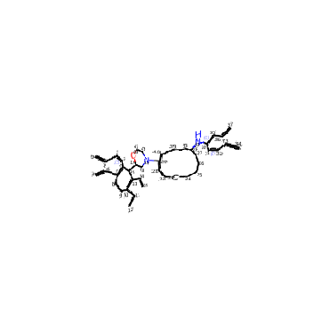 C=C/C=C\C1=C(C=C)CCC(C=C)=C(C=C)C1C1CN(C2CCCCCCCC(NC(/C=C\C=C)=C/C=C)CCC2)CCO1